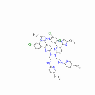 Cc1c[nH]c(-c2ccc(N(CCNc3ccc([N+](=O)[O-])cn3)N(CCNc3ccc([N+](=O)[O-])cn3)c3ccc(-c4nc(C)c[nH]4)c(-c4ccc(Cl)cc4Cl)n3)nc2-c2ccc(Cl)cc2Cl)n1